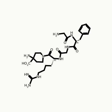 N=C(N)NCCCC[C@@H](NC(=O)CNC(=O)[C@@H](Cc1ccccc1)NC(=O)CN)C(=O)N1CCC(N)(C(=O)O)CC1